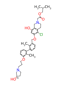 Cc1c(COc2cc(O)c3c(c2Cl)CCN(CC(=O)OCC(C)C)C3)cccc1-c1cccc(OCCCN2CC[C@@H](O)C2)c1C